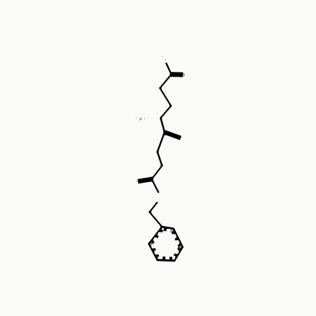 NC(=O)CC[C@@H](N)C(=O)CCC(=O)OCc1ccccc1